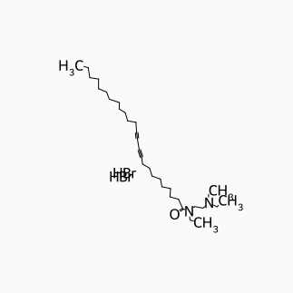 Br.Br.CCCCCCCCCCCCC#CC#CCCCCCCCCC(=O)N(CC)CCN(CC)CC